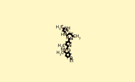 CCOc1ccc([C@H](C)NC(=O)c2ncc(C3=NC(Nc4cc(C)[nH]n4)C=CC(C)=N3)cc2C)cc1